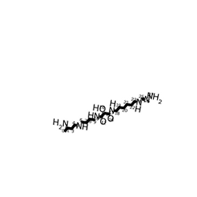 CC(N)CCNCCCCNC(=O)C(O)C(=O)NCCCCCCNC=NN